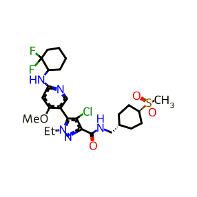 CCn1nc(C(=O)NC[C@H]2CC[C@H](S(C)(=O)=O)CC2)c(Cl)c1-c1cnc(NC2CCCCC2(F)F)cc1OC